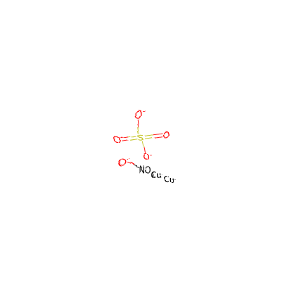 O=S(=O)([O-])[O-].O=[N+]([O-])[O-].[Cu].[Cu]